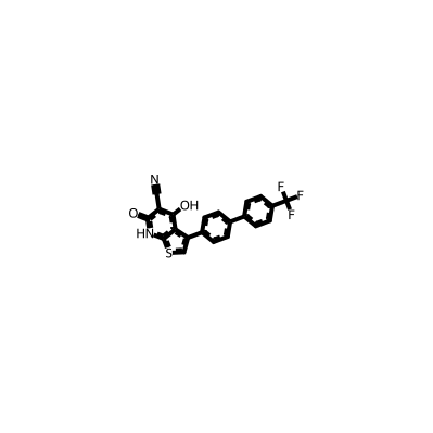 N#Cc1c(O)c2c(-c3ccc(-c4ccc(C(F)(F)F)cc4)cc3)csc2[nH]c1=O